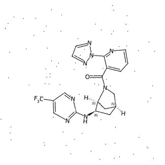 O=C(c1cccnc1-n1nccn1)N1C[C@H]2C[C@@H](Nc3ncc(C(F)(F)F)cn3)[C@@H]1C2